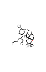 O=C1c2c(O)c(=O)ccn2N(C23c4ccccc4CC2Cc2c(Cl)cccc23)CN1CCCF